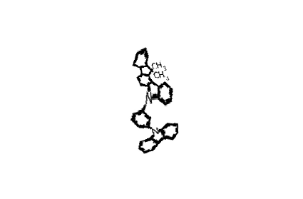 CC1(C)c2ccccc2-c2ccc3c(c21)c1ccccc1n3-c1cccc(-n2c3ccccc3c3ccccc32)c1